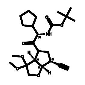 C#C[C@@H]1CC(C(=O)[C@@H](NC(=O)OC(C)(C)C)C2CCCC2)[C@H]2[C@@H]1OCC2(OC)OC